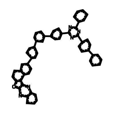 c1ccc(-c2ccc(-c3nc(-c4ccccc4)nc(-c4ccc(-c5cccc(-c6ccc(-c7ccc8c(ccc9oc%10nc%11ccccc%11nc%10c98)c7)cc6)c5)cc4)n3)cc2)cc1